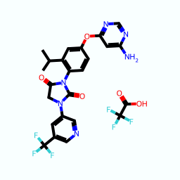 CC(C)c1cc(Oc2cc(N)ncn2)ccc1N1C(=O)CN(c2cncc(C(F)(F)F)c2)C1=O.O=C(O)C(F)(F)F